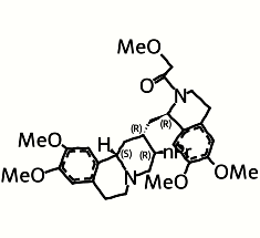 CCC[C@H]1CN2CCc3cc(OC)c(OC)cc3[C@@H]2C[C@@H]1C[C@@H]1c2cc(OC)c(OC)cc2CCN1C(=O)COC